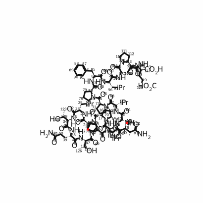 CC[C@H](C)[C@H](NC(=O)[C@@H](N)CC(N)=O)C(=O)N1CCC[C@H]1C(=O)N1CCC[C@H]1C(=O)N[C@@H](CC(C)C)C(=O)N[C@H](C(=O)N[C@@H](CCC(N)=O)C(=O)N[C@H](C(=O)N1CCC[C@H]1C(=O)N[C@H](C(=O)N[C@H](C(=O)N[C@H](C(=O)N1CCC[C@H]1C(=O)N1CCC[C@H]1C(=O)N[C@@H](Cc1ccccc1)C(=O)N[C@@H](CC(C)C)C(=O)N[C@@H](CCC(N)=O)C(=O)N1CCC[C@H]1C(=O)N[C@@H](CCC(=O)O)C(=O)O)C(C)C)C(C)C)C(C)C)[C@@H](C)O)[C@@H](C)O